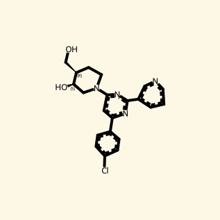 OC[C@H]1CCN(c2cc(-c3ccc(Cl)cc3)nc(-c3cccnc3)n2)C[C@H]1O